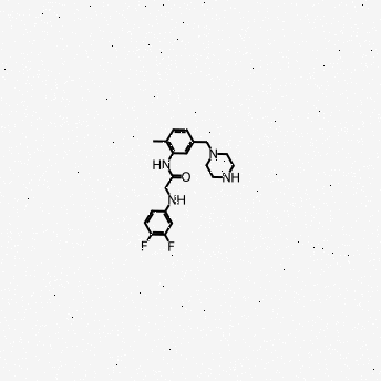 Cc1ccc(CN2CCNCC2)cc1NC(=O)CNc1ccc(F)c(F)c1